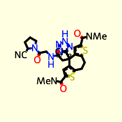 CNC(=O)c1cc2c(s1)CCc1sc(C(=O)NC)cc1C2(C[C@H](C)NCC(=O)N1CCCC1C#N)c1nn[nH]n1